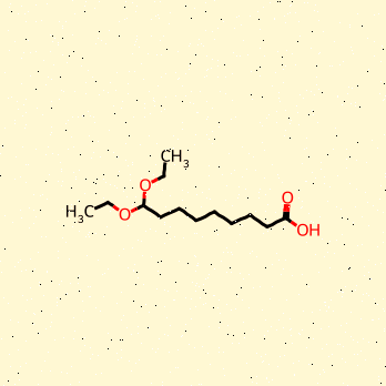 CCOC(CCCCCCCC(=O)O)OCC